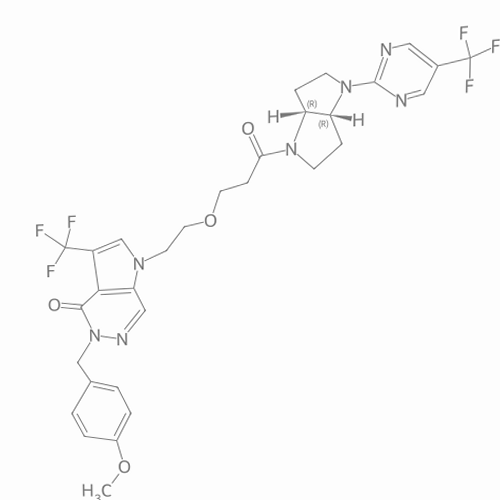 COc1ccc(Cn2ncc3c(c(C(F)(F)F)cn3CCOCCC(=O)N3CC[C@@H]4[C@H]3CCN4c3ncc(C(F)(F)F)cn3)c2=O)cc1